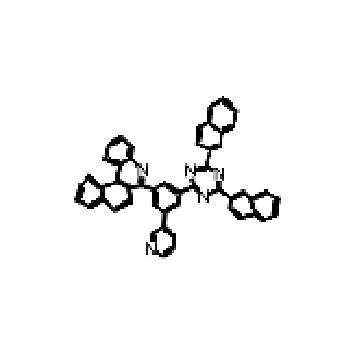 c1cncc(-c2cc(-c3nc(-c4ccc5ccccc5c4)nc(-c4ccc5ccccc5c4)n3)cc(-c3nc4ccccc4c4c3ccc3ccccc34)c2)c1